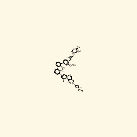 COc1nc(-c2cccc(-c3cccc(-c4cc(C)n5c(=O)c(CN[C@H]6C[C@@](C)(O)C6)cnc5c4)c3Cl)c2Cl)ccc1CNC[C@@H]1CCC(=O)N1